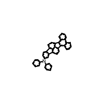 c1ccc(N(c2ccccc2)c2ccc3c(c2)-c2ccc4c5c(ccc-3c25)-c2c-4c3ccccc3c3ccccc23)cc1